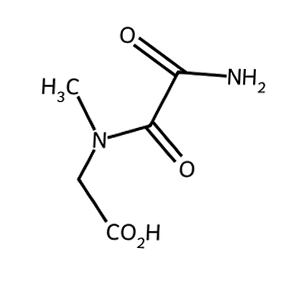 CN(CC(=O)O)C(=O)C(N)=O